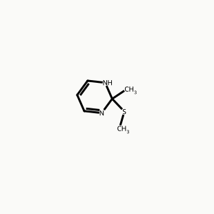 CSC1(C)N=CC=CN1